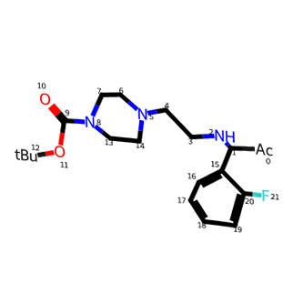 CC(=O)C(NCCN1CCN(C(=O)OC(C)(C)C)CC1)c1ccccc1F